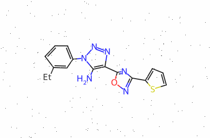 CCc1cccc(-n2nnc(-c3nc(-c4cccs4)no3)c2N)c1